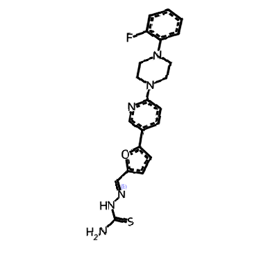 NC(=S)N/N=C/c1ccc(-c2ccc(N3CCN(c4ccccc4F)CC3)nc2)o1